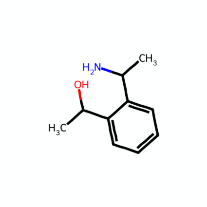 CC(N)c1ccccc1C(C)O